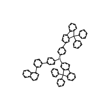 c1ccc(C2(c3ccccc3)c3ccccc3-c3ccc(-c4ccc(N(c5ccc(-c6cccc(-c7cccc8ccccc78)c6)cc5)c5ccc6c(c5)C(c5ccccc5)(c5ccccc5)c5ccccc5-6)cc4)cc32)cc1